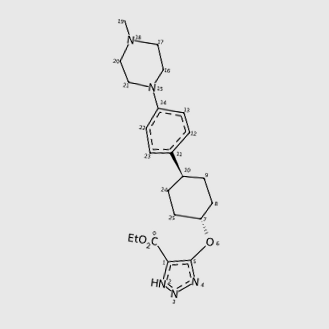 CCOC(=O)c1[nH]nnc1O[C@H]1CC[C@H](c2ccc(N3CCN(C)CC3)cc2)CC1